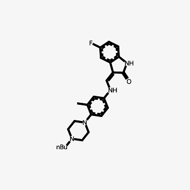 CCCCN1CCN(c2ccc(NC=C3C(=O)Nc4ccc(F)cc43)cc2C)CC1